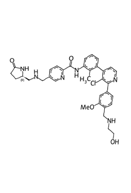 COc1cc(-c2nccc(-c3cccc(NC(=O)c4ccc(CNC[C@H]5CCC(=O)N5)cn4)c3C)c2Cl)ccc1CNCCO